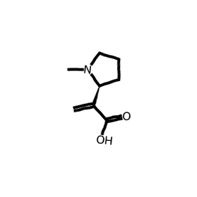 C=C(C(=O)O)[C@@H]1CCCN1C